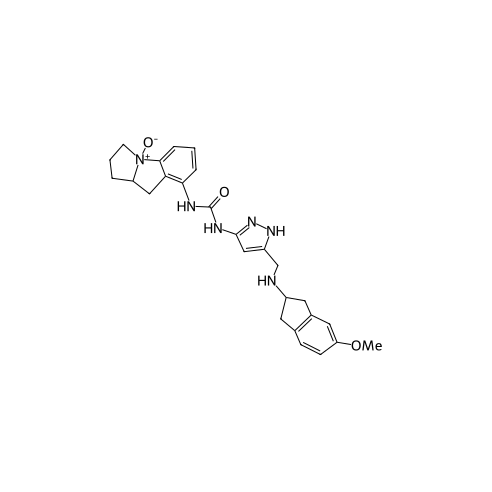 COc1ccc2c(c1)CC(NCc1cc(NC(=O)Nc3cccc4c3CC3CCC[N+]43[O-])n[nH]1)C2